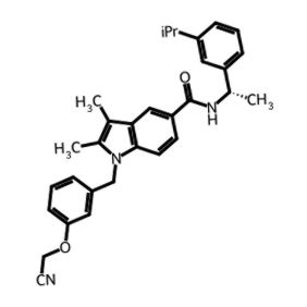 Cc1c(C)n(Cc2cccc(OCC#N)c2)c2ccc(C(=O)N[C@@H](C)c3cccc(C(C)C)c3)cc12